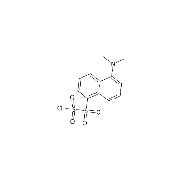 CN(C)c1cccc2c(S(=O)(=O)S(=O)(=O)Cl)cccc12